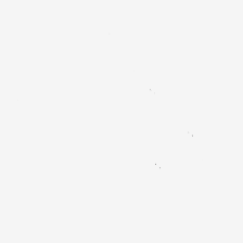 CCCN(Cc1nc2ccccc2n1-c1ccc(Cl)cc1)C(=O)c1c(C)cc(C)cc1C